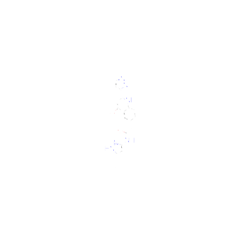 O=C(Cc1ccc2[nH]c(-c3ccn[nH]3)cc(=O)c2c1)Nc1cc(C2CC2)[nH]n1